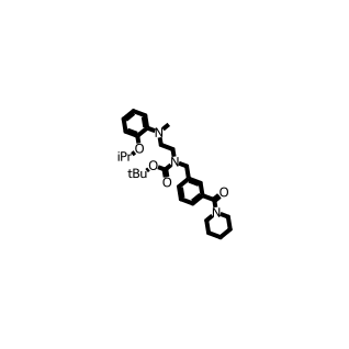 CC(C)Oc1ccccc1N(C)CCN(Cc1cccc(C(=O)N2CCCCC2)c1)C(=O)OC(C)(C)C